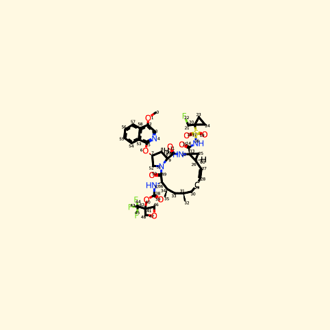 COc1cnc(O[C@@H]2C[C@H]3C(=O)N[C@]4(C(=O)NS(=O)(=O)C5(CF)CC5)C[C@H]4/C=C\CC[C@@H](C)C[C@@H](C)[C@H](NC(=O)OC4(C(F)(F)F)COC4)C(=O)N3C2)c2ccccc12